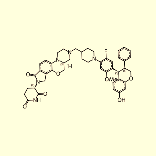 COc1cc(N2CCC(CN3CCN4c5ccc6c(c5OC[C@@H]4C3)CN([C@@H]3CCC(=O)NC3=O)C6=O)CC2)c(F)cc1[C@@H]1c2ccc(O)cc2OC[C@@H]1c1ccccc1